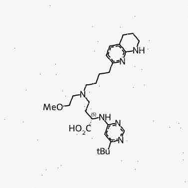 COCCN(CCCCc1ccc2c(n1)NCCC2)CC[C@H](Nc1cc(C(C)(C)C)ncn1)C(=O)O